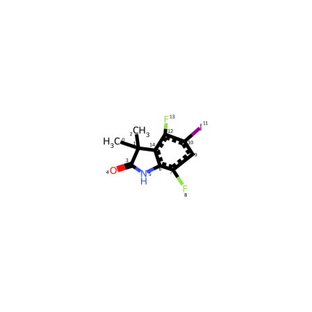 CC1(C)C(=O)Nc2c(F)cc(I)c(F)c21